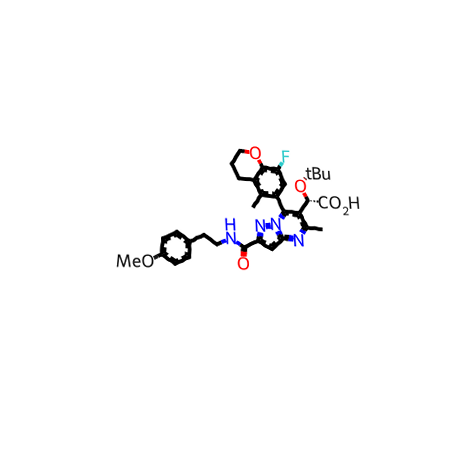 COc1ccc(CCNC(=O)c2cc3nc(C)c([C@H](OC(C)(C)C)C(=O)O)c(-c4cc(F)c5c(c4C)CCCO5)n3n2)cc1